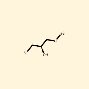 CC(C)OC[C@@H](O)CCl